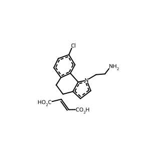 NCCn1ccc2c1-c1cc(Cl)ccc1CC2.O=C(O)C=CC(=O)O